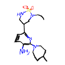 CCN1CC(c2ccc(N)c(N3CCC(C)CC3)n2)CNS1(=O)=O